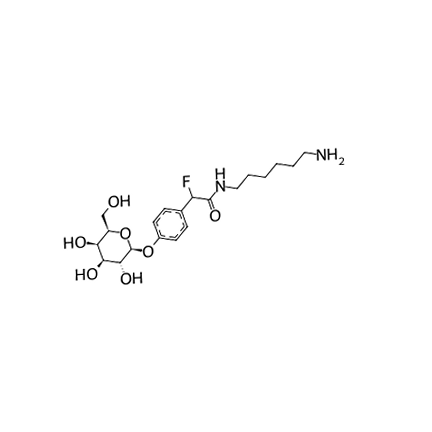 NCCCCCCNC(=O)C(F)c1ccc(O[C@@H]2O[C@H](CO)[C@H](O)[C@H](O)[C@H]2O)cc1